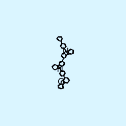 C1=Cc2c(n(-c3ccc(-c4cccc5c4oc4ccccc45)cc3)c3ccc(-c4ccc5c(c4)c4ccccc4n5-c4ccc(-c5ccccc5)cc4)cc23)CC1